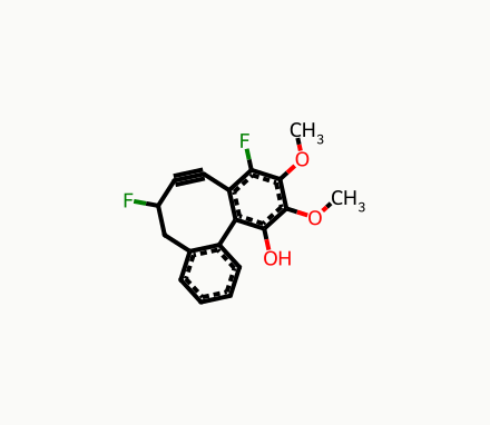 COc1c(O)c2c(c(F)c1OC)C#CC(F)Cc1ccccc1-2